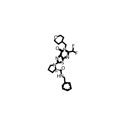 O=C(NCc1ccccc1)[C@H]1CCCN1c1nc2c(=O)n(CC3CCOCC3)c(C(F)F)nc2s1